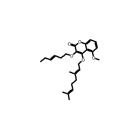 CC/C=C/CCOc1c(OC/C=C(\C)CCC=C(C)C)c2c(OC)cccc2oc1=O